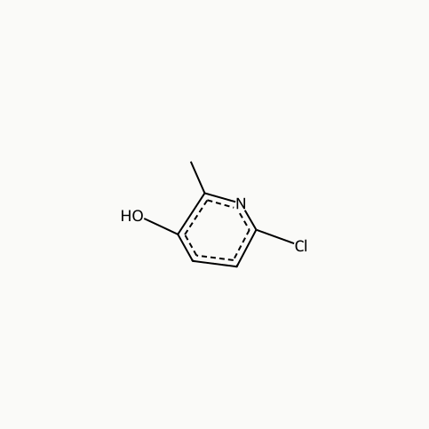 Cc1nc(Cl)ccc1O